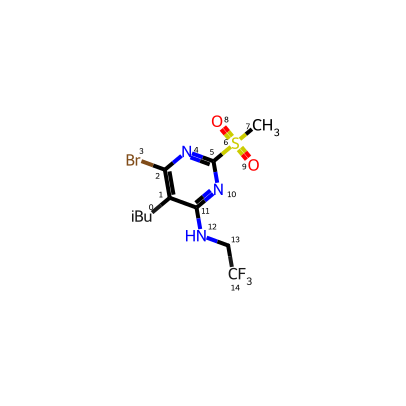 CCC(C)c1c(Br)nc(S(C)(=O)=O)nc1NCC(F)(F)F